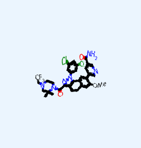 COc1cc2c(cc1-c1cncc(C(N)=O)c1)-c1c(c(C(=O)N3CCN(CC(F)(F)F)CC3(C)C)nn1-c1cc(Cl)cc(Cl)c1)CC2